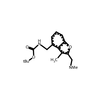 CNCc1oc2cccc(CNC(=O)OC(C)(C)C)c2c1C